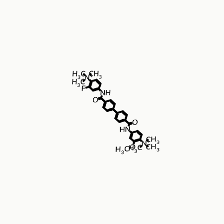 COc1cc(NC(=O)c2ccc(-c3ccc(C(=O)Nc4ccc([N+](C)(C)C)c(F)c4)cc3)cc2)ccc1[N+](C)(C)C